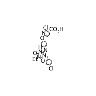 CCn1c(=O)[nH]/c(=N\c2ccc(Oc3ccc(C(=O)O)c(Cl)n3)cc2)n(Cc2ccc(Cl)cc2)c1=O